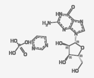 Nc1nc2c(ncn2[C@@H]2O[C@H](CO)[C@@H](O)[C@H]2O)c(=O)[nH]1.O=P(O)(O)O.c1cncnc1